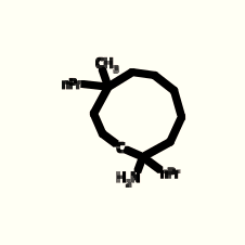 CCCC1(C)CCCCCC(N)(CCC)CCC1